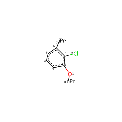 CCCOc1cccc([C](C)C)c1Cl